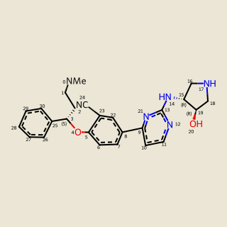 CNCC[C@H](Oc1ccc(-c2ccnc(N[C@@H]3CNC[C@H]3O)n2)cc1C#N)c1ccccc1